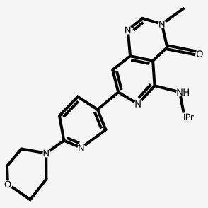 CC(C)Nc1nc(-c2ccc(N3CCOCC3)nc2)cc2ncn(C)c(=O)c12